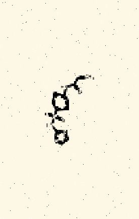 C=CC(=O)Nc1ccc(S(=O)(=O)Nc2nccs2)cc1